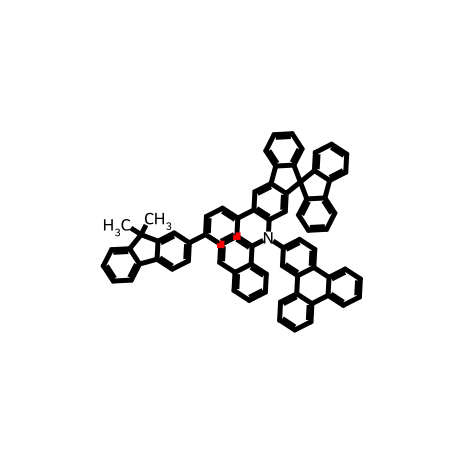 CC1(C)c2ccccc2-c2ccc(-c3ccc(-c4cc5c(cc4N(c4ccc6c7ccccc7c7ccccc7c6c4)c4cccc6ccccc46)C4(c6ccccc6-c6ccccc64)c4ccccc4-5)cc3)cc21